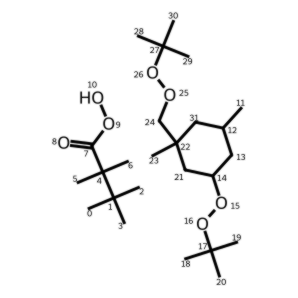 CC(C)(C)C(C)(C)C(=O)OO.CC1CC(OOC(C)(C)C)CC(C)(COOC(C)(C)C)C1